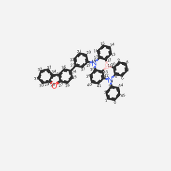 c1ccc(N2c3ccccc3B3c4ccccc4N(c4cccc(-c5ccc6oc7ccccc7c6c5)c4)c4cccc2c43)cc1